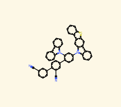 N#Cc1cccc(-c2ccc(-c3ccc(-n4c5ccccc5c5cc6sc7ccccc7c6cc54)cc3-n3c4ccccc4c4ccccc43)cc2C#N)c1